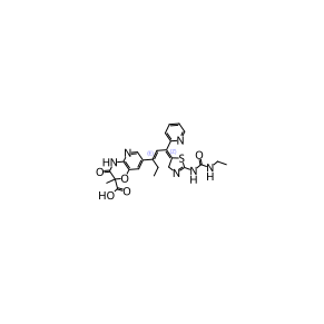 CCNC(=O)NC1=NC/C(=C(\C=C(/CC)c2cnc3c(c2)OC(C)(C(=O)O)C(=O)N3)c2ccccn2)S1